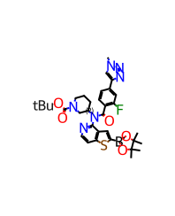 Cn1cc(-c2ccc(C(=O)N(c3nccc4sc(B5OC(C)(C)C(C)(C)O5)cc34)[C@@H]3CCCN(C(=O)OC(C)(C)C)C3)c(F)c2)nn1